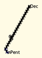 CCCCC/C=C\C/C=C\CCCCCCCCOC(=O)CCCCCCCCCCCCCCCCCCCCCCCCCCCCCCCCCCCCC